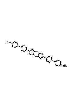 CC(C)(C)c1ccc(-c2ccc(-c3cc4cc5sc(-c6ccc(-c7ccc(C(C)(C)C)cc7)cc6)cc5cc4s3)cc2)cc1